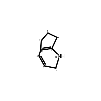 [CH]1CCC2=C1C=CCN2